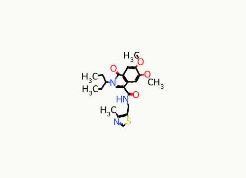 CCC(CC)n1cc(C(=O)NCc2scnc2C)c2cc(OC)c(OC)cc2c1=O